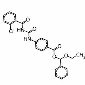 CCOC(OC(=O)c1ccc(NC(=O)NC(=O)c2ccccc2Cl)cc1)c1ccccc1